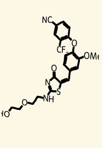 COc1cc(C=C2SC(NCCOCCO)=NC2=O)ccc1Oc1ccc(C#N)cc1C(F)(F)F